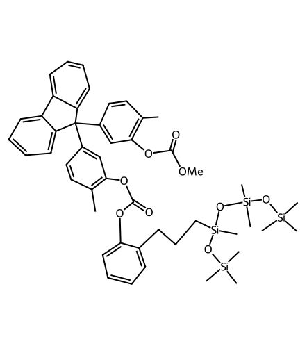 COC(=O)Oc1cc(C2(c3ccc(C)c(OC(=O)Oc4ccccc4CCC[Si](C)(O[Si](C)(C)C)O[Si](C)(C)O[Si](C)(C)C)c3)c3ccccc3-c3ccccc32)ccc1C